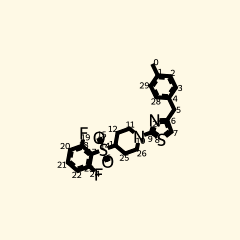 Cc1ccc(Cc2csc(N3CCC(S(=O)(=O)c4c(F)cccc4F)CC3)n2)cc1